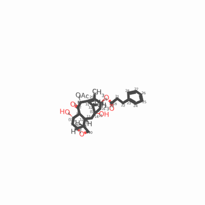 CC(=O)O[C@H]1C(=O)C2[C@@H](O)C[C@H]3OC[C@H]3[C@H]2C[C@]2(O)C[C@H](OC(=O)CCc3ccccc3)C(C)=C1C2(C)C